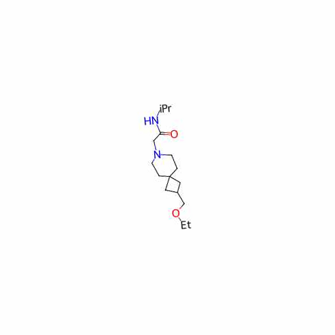 CCOCC1CC2(CCN(CC(=O)NC(C)C)CC2)C1